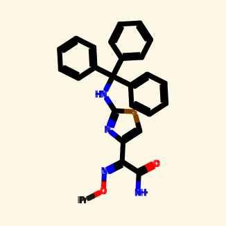 CC(C)ON=C(C([NH])=O)c1csc(NC(c2ccccc2)(c2ccccc2)c2ccccc2)n1